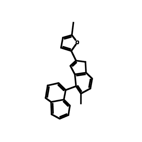 Cc1ccc(C2=Cc3c(ccc(C)c3-c3cccc4ccccc34)C2)o1